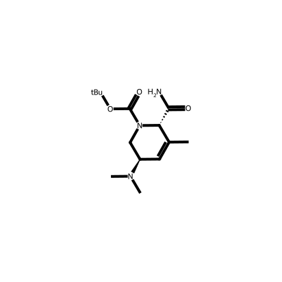 CC1=C[C@@H](N(C)C)CN(C(=O)OC(C)(C)C)[C@@H]1C(N)=O